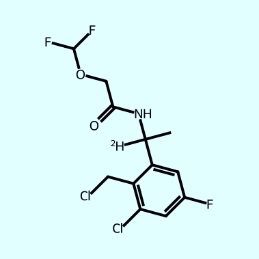 [2H]C(C)(NC(=O)COC(F)F)c1cc(F)cc(Cl)c1CCl